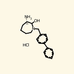 Cl.N[C@H]1CCCCN(Cc2ccc(-c3ccccc3)cc2)C1O